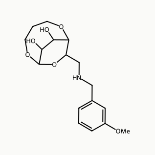 COc1cccc(CNCC2OC3OCCCOC2C(O)C3O)c1